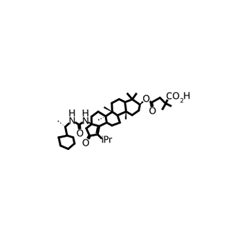 CC(C)C1=C2C3CCC4[C@@]5(C)CC[C@H](OC(=O)CC(C)(C)C(=O)O)C(C)(C)C5CC[C@@]4(C)[C@]3(C)CC[C@@]2(NC(=O)N[C@@H](C)C2CCCCC2)CC1=O